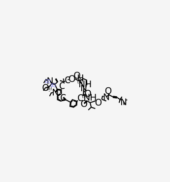 C=C/C(=C(\N=C/C)[C@H](C)OC)c1c2c3cc(ccc3n1CC)-c1cccc(c1)C[C@H](NC(=O)C(COC1CN(C(=O)C#CC(C)(C)N(C)C)C1)C(C)C)C(=O)N1CCC[C@H](N1)C(=O)OCC(C)(C)C2